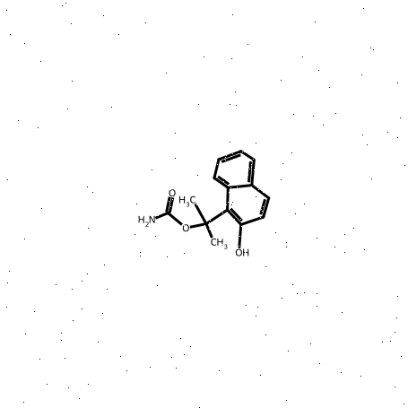 CC(C)(OC(N)=O)c1c(O)ccc2ccccc12